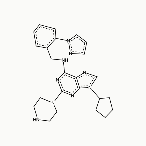 c1ccc(-n2cccn2)c(CNc2nc(N3CCNCC3)nc3c2ncn3C2CCCC2)c1